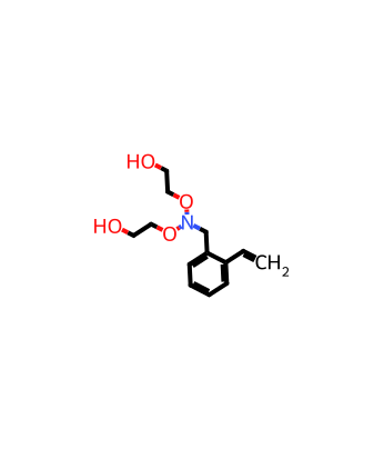 C=Cc1ccccc1CN(OCCO)OCCO